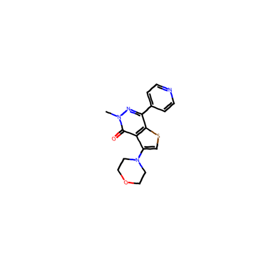 Cn1nc(-c2ccncc2)c2scc(N3CCOCC3)c2c1=O